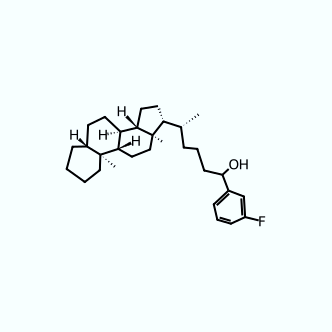 C[C@H](CCCC(O)c1cccc(F)c1)[C@H]1CC[C@H]2[C@@H]3CC[C@H]4CCCC[C@]4(C)[C@H]3CC[C@]12C